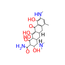 CNc1cc(C)c2c(c1O)C(=O)C1=C(O)[C@]3(O)C(=O)C(C(N)=O)C(O)[C@@H](N(C)C)[C@@H]3C[C@@H]1C2